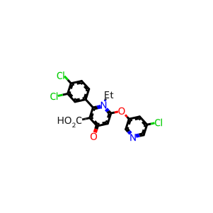 CCn1c(Oc2cncc(Cl)c2)cc(=O)c(C(=O)O)c1-c1ccc(Cl)c(Cl)c1